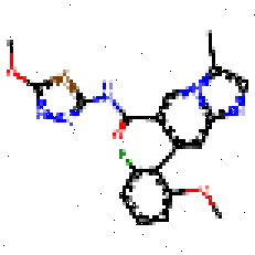 COc1nnc(NC(=O)c2cn3c(C)cnc3cc2-c2c(F)cccc2OC)s1